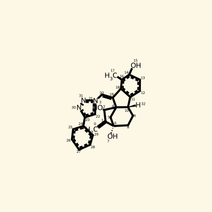 C=C1C(O)C23C[C@@]1(O)CC[C@H]2c1ccc(O)c(C)c1/C3=C/n1cc(-c2ccccc2)nn1